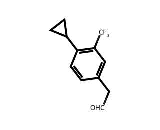 O=CCc1ccc(C2CC2)c(C(F)(F)F)c1